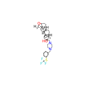 C[C@]12CC[C@](O)(CN3CCN(Cc4cccc(SC(F)(F)F)c4)CC3)C[C@@H]1CC[C@@H]1[C@@H]2CC[C@]2(C)C(=O)CC[C@@H]12